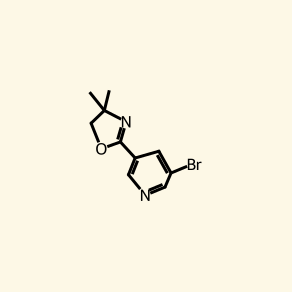 CC1(C)COC(c2cncc(Br)c2)=N1